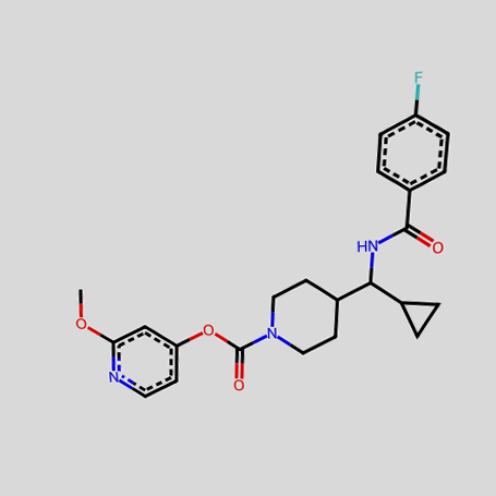 COc1cc(OC(=O)N2CCC(C(NC(=O)c3ccc(F)cc3)C3CC3)CC2)ccn1